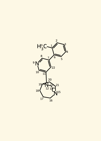 Cc1ccccc1-c1cncc(N2CCN3CCCC2CC3)c1